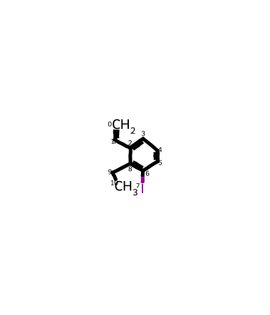 C=[C]c1cccc(I)c1CC